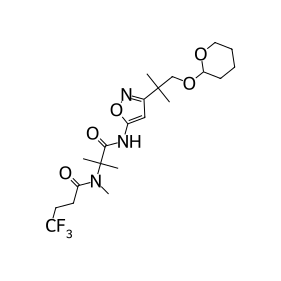 CN(C(=O)CCC(F)(F)F)C(C)(C)C(=O)Nc1cc(C(C)(C)COC2CCCCO2)no1